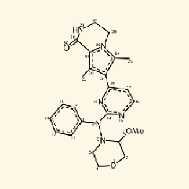 COC1COCCN1N(c1ccccc1)c1nccc(-c2c(C)c3n(c2C)CCNC3=O)n1